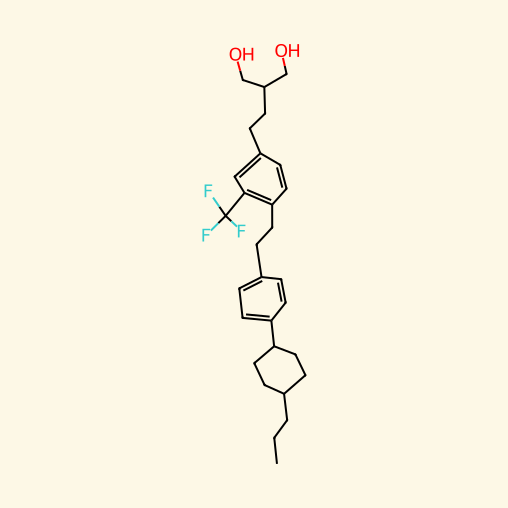 CCCC1CCC(c2ccc(CCc3ccc(CCC(CO)CO)cc3C(F)(F)F)cc2)CC1